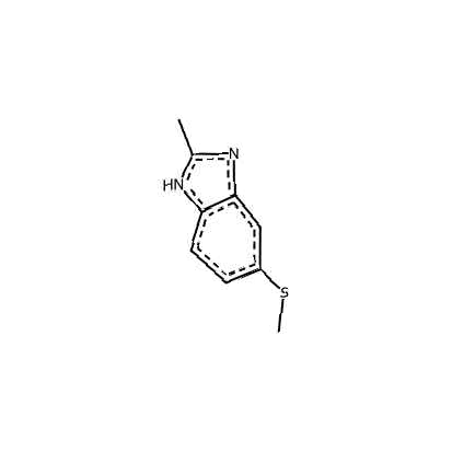 CSc1ccc2[nH]c(C)nc2c1